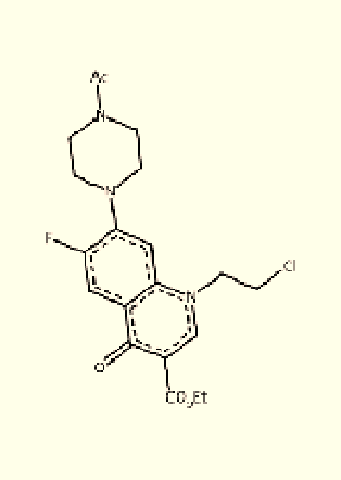 CCOC(=O)c1cn(CCCl)c2cc(N3CCN(C(C)=O)CC3)c(F)cc2c1=O